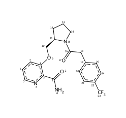 NC(=O)c1ncccc1OC[C@H]1CCCN1C(=O)Cc1ccc(C(F)(F)F)cc1